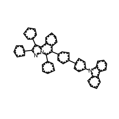 c1ccc(-c2nn3c(-c4ccccc4)c(-c4ccc(-c5ccc(-n6c7ccccc7c7ccccc76)cc5)cc4)c4ccccc4c3c2-c2ccccc2)cc1